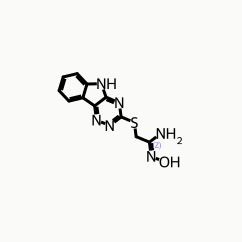 N/C(CSc1nnc2c(n1)[nH]c1ccccc12)=N\O